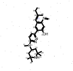 C=Nc1cc(O)c(-c2ccc(N(C)C3CC(C)(C)NC(C)(C)C3)nn2)cc1/C=C(\C)CC